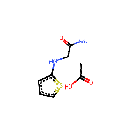 CC(=O)O.NC(=O)CNc1cccs1